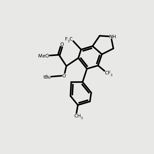 COC(=O)C(OC(C)(C)C)c1c(-c2ccc(C)cc2)c(C(F)(F)F)c2c(c1C(F)(F)F)CNC2